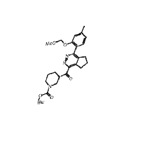 COCOc1cc(C)ccc1-c1nnc(C(=O)[C@@H]2CCCN(C(=O)OC(C)(C)C)C2)c2c1CCC2